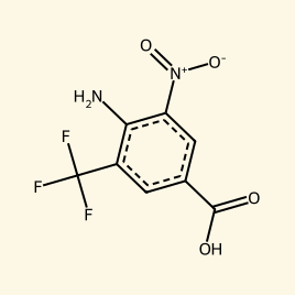 Nc1c([N+](=O)[O-])cc(C(=O)O)cc1C(F)(F)F